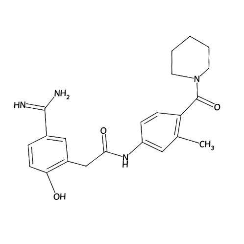 Cc1cc(NC(=O)Cc2cc(C(=N)N)ccc2O)ccc1C(=O)N1CCCCC1